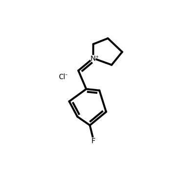 Fc1ccc(C=[N+]2CCCC2)cc1.[Cl-]